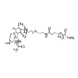 CCCC(=O)N/N=C(\C)CCC(=O)NCCSSCCNC1=C(C)C(=O)C2=C(C1=O)C(COC(N)=O)[C@@]1(OC)C3NC3CN21